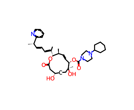 C/C(=C\C=C\[C@H](C)c1ccccn1)[C@H]1OC(=O)C[C@@H](O)CC[C@](C)(O)[C@@H](OC(=O)N2CCN(C3CCCCC3)CC2)/C=C/[C@@H]1C